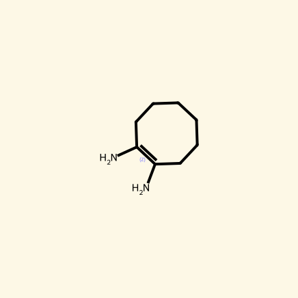 N/C1=C(\N)CCCCCC1